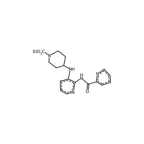 CCOC(=O)N1CCC(Nc2cccnc2NC(=O)c2ccccn2)CC1